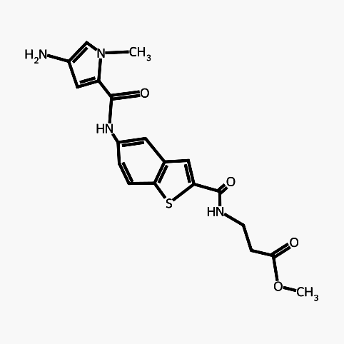 COC(=O)CCNC(=O)c1cc2cc(NC(=O)c3cc(N)cn3C)ccc2s1